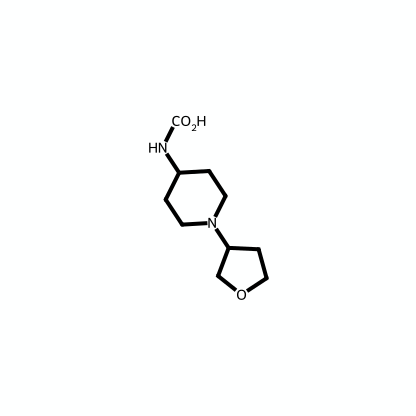 O=C(O)NC1CCN(C2CCOC2)CC1